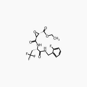 CCOC(=O)[C@H]1O[C@@H]1C(=O)N[C@@H](CC(F)(F)F)C(=O)NCc1ccccc1F